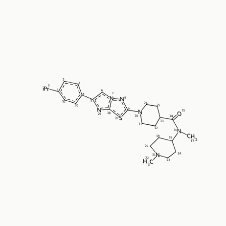 CC(C)c1ccc(-c2cn3nc(N4CCC(C(=O)N(C)C5CCN(C)CC5)CC4)sc3n2)cc1